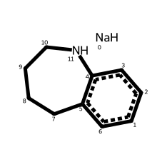 [NaH].c1ccc2c(c1)CCCCN2